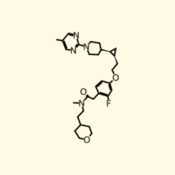 Cc1cnc(N2CCC([C@H]3C[C@H]3CCOc3ccc(CC(=O)N(C)CCC4CCOCC4)c(F)c3)CC2)nc1